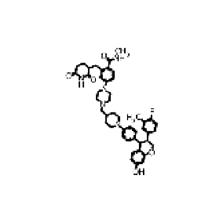 CNC(=O)c1ccc(N2CCN(CC3CCN(c4ccc(C5c6ccc(O)cc6OCC5c5ccc(F)c(C)c5)cc4)CC3)CC2)cc1CC1CCC(=O)NC1=O